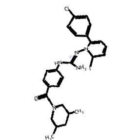 CC1CC(C)CN(C(=O)c2ccc(N/C(N)=N/N3C(c4ccc(Cl)cc4)=CC=CC3I)cc2)C1